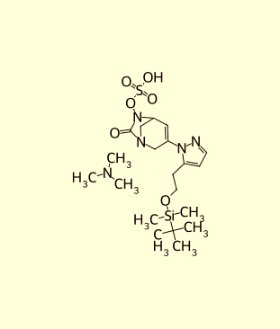 CC(C)(C)[Si](C)(C)OCCc1ccnn1C1=CC2CN(C1)C(=O)N2OS(=O)(=O)O.CN(C)C